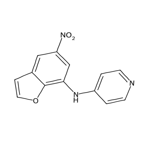 O=[N+]([O-])c1cc(Nc2ccncc2)c2occc2c1